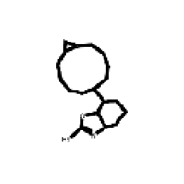 SC1=NC2CCCC(C3CCCCC4CC4CCCC3)C2O1